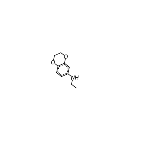 CCNc1ccc2c(c1)OCCO2